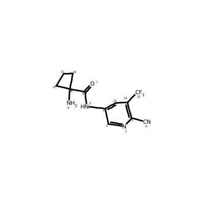 N#Cc1ncc(NC(=O)C2(N)CCC2)cc1C(F)(F)F